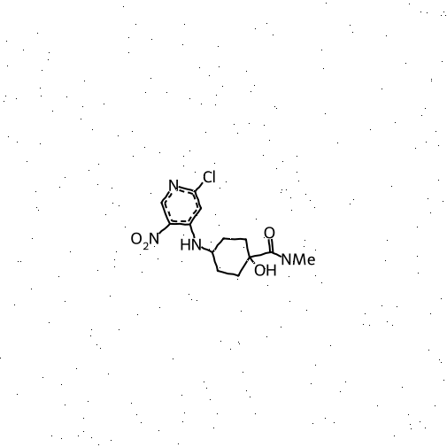 CNC(=O)C1(O)CCC(Nc2cc(Cl)ncc2[N+](=O)[O-])CC1